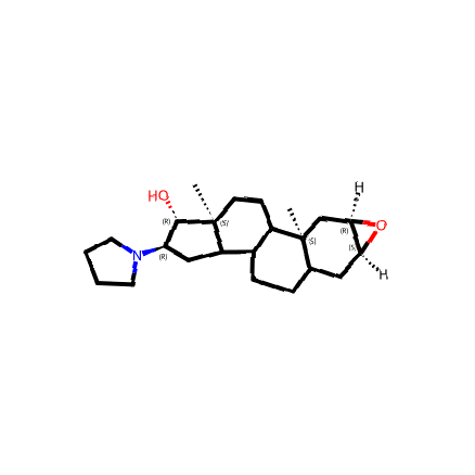 C[C@]12C[C@H]3O[C@H]3CC1CCC1C2CC[C@@]2(C)C1C[C@@H](N1CCCC1)[C@@H]2O